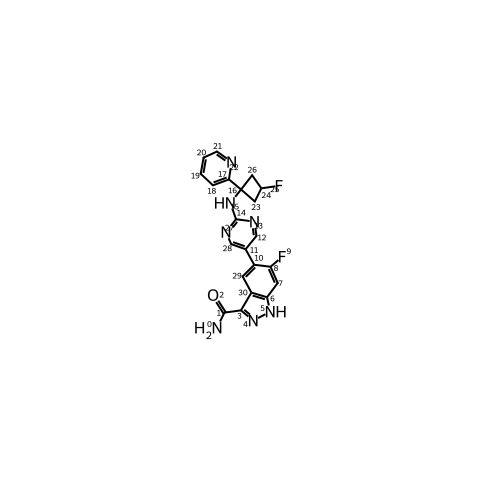 NC(=O)c1n[nH]c2cc(F)c(-c3cnc(NC4(c5ccccn5)CC(F)C4)nc3)cc12